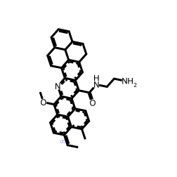 C/C=c1/ccc2c(OC)c3nc4c5c6c(cc4c(C(=O)NCCN)c3c3ccc(C)c1c23)CC=C1C=CC=C(C=C5)C16